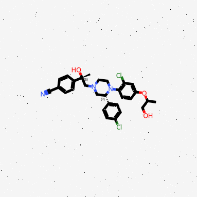 CC(CO)Oc1ccc(N2CCN(C[C@@](C)(O)c3ccc(C#N)cc3)C[C@H]2c2ccc(Cl)cc2)c(Cl)c1